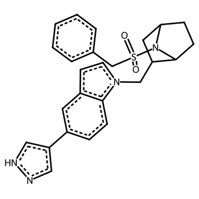 O=S(=O)(Cc1ccccc1)N1C2CCC1C(Cn1ccc3cc(-c4cn[nH]c4)ccc31)C2